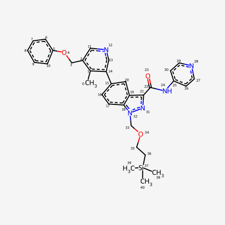 Cc1c(COc2ccccc2)cncc1-c1ccc2c(c1)c(C(=O)Nc1ccncc1)nn2COCC[Si](C)(C)C